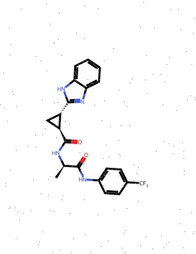 C[C@@H](NC(=O)[C@H]1C[C@@H]1c1nc2ccccc2[nH]1)C(=O)Nc1ccc(C(F)(F)F)cc1